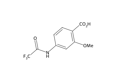 COc1cc(NC(=O)C(F)(F)F)ccc1C(=O)O